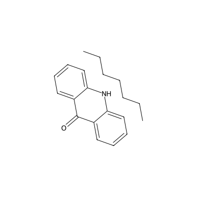 CCCCCCC.O=c1c2ccccc2[nH]c2ccccc12